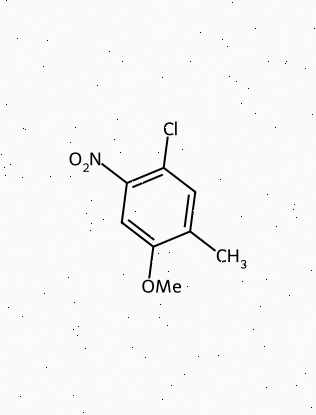 COc1cc([N+](=O)[O-])c(Cl)cc1C